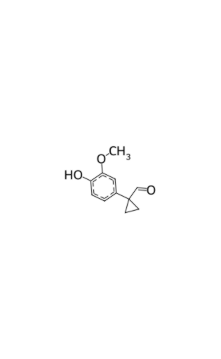 COc1cc(C2(C=O)CC2)ccc1O